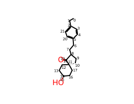 CCc1ccc(CCC2CC[C@]3(CC[C@H](O)CC3)C2=O)cc1